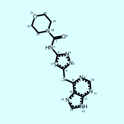 O=C(Nc1nnc(Sc2ncnc3[nH]cnc23)s1)N1CCOCC1